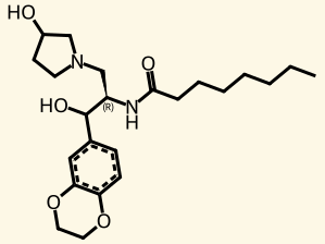 CCCCCCCC(=O)N[C@H](CN1CCC(O)C1)C(O)c1ccc2c(c1)OCCO2